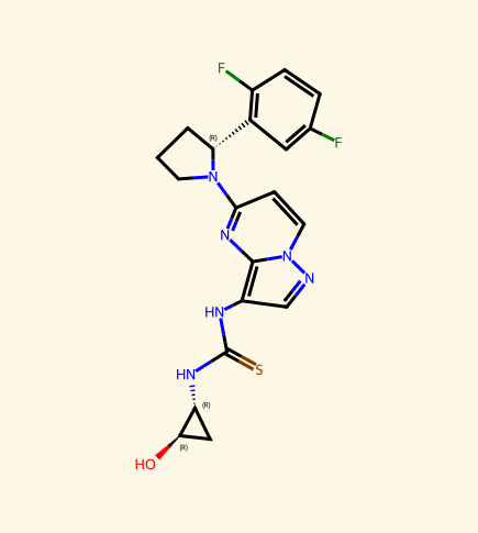 O[C@@H]1C[C@H]1NC(=S)Nc1cnn2ccc(N3CCC[C@@H]3c3cc(F)ccc3F)nc12